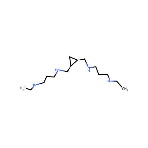 CCNCCCNC[C@@H]1C[C@@H]1CNCCCNCC